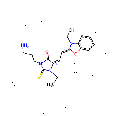 CCN1C(=S)N(CCCN)C(=O)/C1=C\C=C1/Oc2ccccc2N1CC